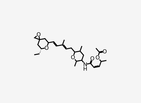 CC[C@@H]1CC2(CO2)CC(/C=C/C(C)=C/CC2OC(C)C(NC(=O)/C=C\C(C)OC(C)=O)CC2C)O1